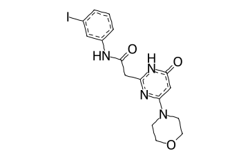 O=C(Cc1nc(N2CCOCC2)cc(=O)[nH]1)Nc1cccc(I)c1